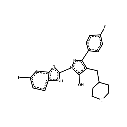 Oc1c(CC2CCOCC2)c(-c2ccc(F)cc2)nn1-c1nc2cc(F)ccc2[nH]1